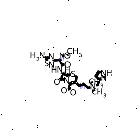 CO/N=C(\C(=O)N[C@@H]1C(=O)N2C(C(=O)[O-])=C(/C=C/C[N+](C)(C)Cc3cc[nH]n3)CS[C@@H]12)c1nsc(N)n1